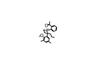 CCCC(CC)(Pc1ccccc1C(C)=O)c1cc(C)cc(C)c1OC